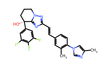 Cc1cn(-c2ccc(/C=C/c3nc4n(n3)CCC[C@]4(O)c3cc(F)c(F)c(F)c3)cc2C)cn1